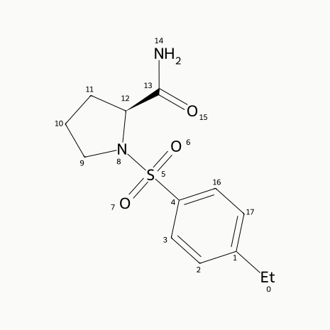 CCc1ccc(S(=O)(=O)N2CCC[C@H]2C(N)=O)cc1